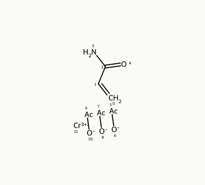 C=CC(N)=O.CC(=O)[O-].CC(=O)[O-].CC(=O)[O-].[Cr+3]